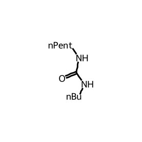 CCCCCNC(=O)NCCCC